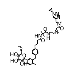 CS#CC1O[C@@H](c2ccc(C)c(Cc3ccc(CCCC(=O)NC(C)(C)C(=O)NCCN(C)CC(=O)N(C)Cc4cn(C5CC5)nn4)cc3)c2)[C@H](O)[C@@H](O)[C@@H]1O